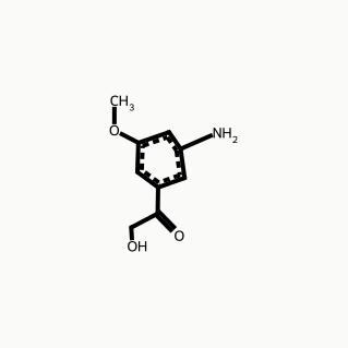 COc1cc(N)cc(C(=O)CO)c1